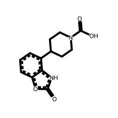 O=C(O)N1CCC(c2cccc3oc(=O)[nH]c23)CC1